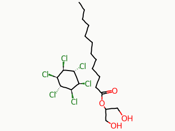 CCCCCCCCCCCC(=O)OC(CO)CO.Cl[C@H]1[C@H](Cl)[C@@H](Cl)[C@@H](Cl)[C@H](Cl)[C@H]1Cl